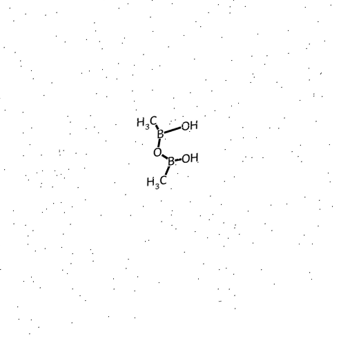 CB(O)OB(C)O